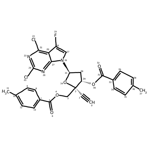 C#C[C@]1(COC(=O)c2ccc(C)cc2)O[C@@H](n2cc(F)c3c(Cl)nc(Cl)nc32)C[C@@H]1OC(=O)c1ccc(C)cc1